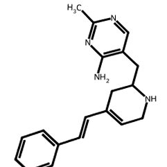 Cc1ncc(CC2CC(/C=C/c3ccccc3)=CCN2)c(N)n1